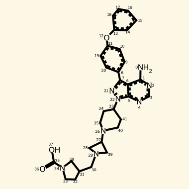 Nc1ncnc2c1c(-c1ccc(Oc3ccccc3)cc1)nn2C1CCN(C2CN(CC3CCN(C(=O)O)C3)C2)CC1